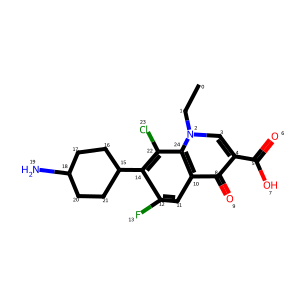 CCn1cc(C(=O)O)c(=O)c2cc(F)c(C3CCC(N)CC3)c(Cl)c21